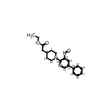 CCOC(=O)CC1CCN(c2ncc(-c3ccccc3)cc2N=O)CC1